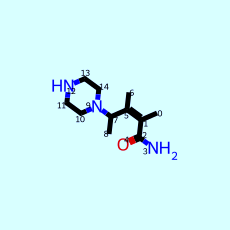 CC(C(N)=O)=C(C)C(C)N1CCNCC1